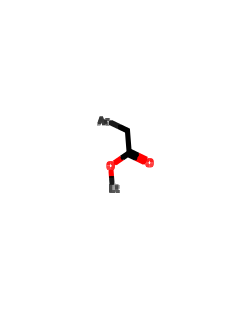 [CH2]C(=O)CC(=O)OCC